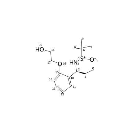 CC[C@H](N[S+]([O-])C(C)(C)C)c1ccccc1OCCO